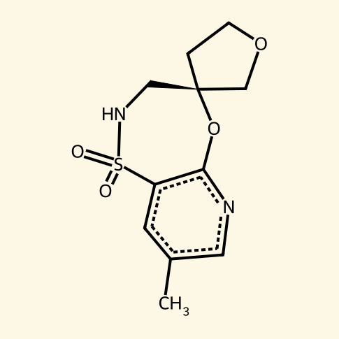 Cc1cnc2c(c1)S(=O)(=O)NC[C@]1(CCOC1)O2